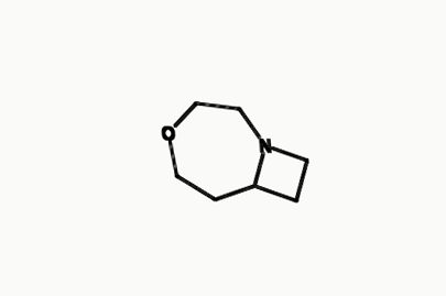 C1CC2CCN2CCO1